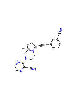 N#Cc1cccc(C#C[C@@H]2CC[C@@H]3CN(c4nccnc4C#N)CCN32)c1